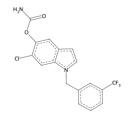 NC(=O)Oc1cc2ccn(Cc3cccc(C(F)(F)F)c3)c2cc1Cl